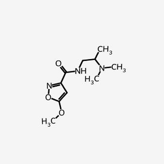 COc1cc(C(=O)NCC(C)N(C)C)no1